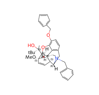 CO[C@@]12C=C[C@]3(C[C@@H]1[C@](C)(O)C(C)(C)C)[C@H]1Cc4ccc(OCc5ccccc5)c5c4[C@]3(CCN1Cc1ccccc1)[C@@H]2O5